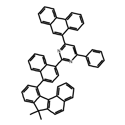 CC1(C)c2cccc(-c3ccc(-c4nc(-c5ccccc5)cc(-c5cc6ccccc6c6ccccc56)n4)c4ccccc34)c2-c2c1ccc1ccccc21